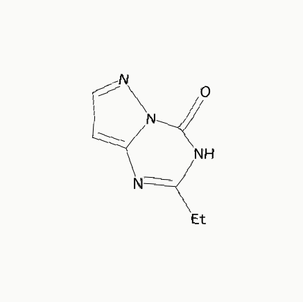 CCc1nc2ccnn2c(=O)[nH]1